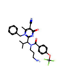 Cc1c(C#N)c(=O)nc(C(C(C)C)N(CCCN)C(=O)c2ccc(OC(F)(F)F)cc2)n1Cc1ccccc1